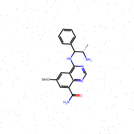 COc1cc(C(N)=O)c2ncnc(NC(c3ccccc3)[C@H](C)N)c2c1